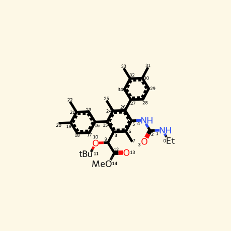 CCNC(=O)Nc1c(C)c(C(OC(C)(C)C)C(=O)OC)c(-c2ccc(C)c(C)c2)c(C)c1-c1ccc(C)c(C)c1